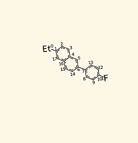 CCc1ccc2cc(-c3ccc(F)cc3)ccc2c1